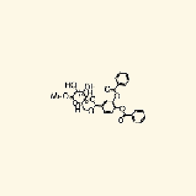 CO[C@H]1O[C@@H]2COC(c3ccc(OC(=O)c4ccccc4)c(OC(=O)c4ccccc4)c3)O[C@H]2[C@H](O)[C@H]1O